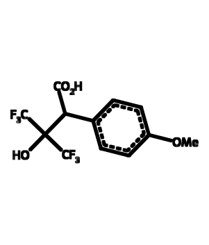 COc1ccc(C(C(=O)O)C(O)(C(F)(F)F)C(F)(F)F)cc1